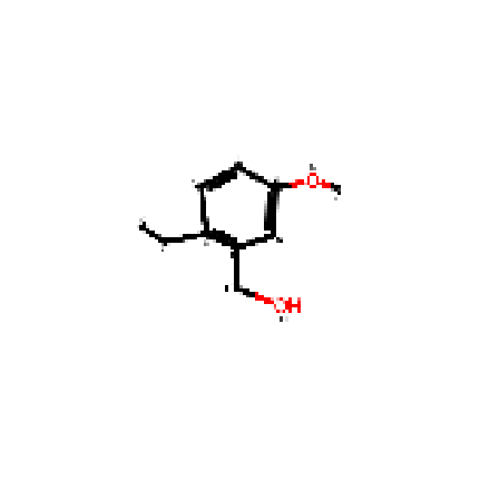 CCc1ccc(OC)cc1CO